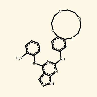 Nc1ccccc1Nc1nc(Nc2ccc3c(c2)OCCOCCOCCO3)nc2[nH]ncc12